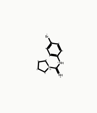 N=C(Nc1ccc(Br)cc1)N1CCCC1